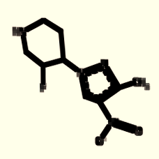 Cc1nn(C2CCNCC2F)cc1[N+](=O)[O-]